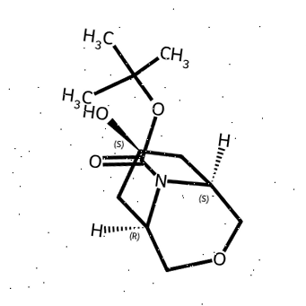 CC(C)(C)OC(=O)N1[C@@H]2COC[C@H]1C[C@@H](O)C2